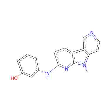 Cn1c2ccncc2c2ccc(Nc3cccc(O)c3)nc21